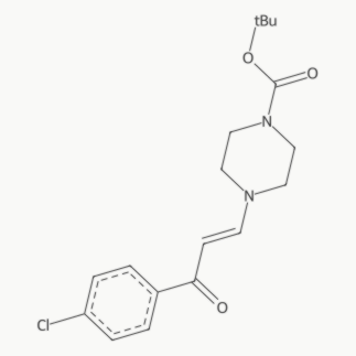 CC(C)(C)OC(=O)N1CCN(C=CC(=O)c2ccc(Cl)cc2)CC1